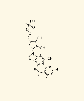 CC(Nc1nc(C#N)nc2c1ccn2[C@@H]1O[C@H](COOP(C)(=O)O)[C@@H](O)[C@H]1O)c1ccc(F)cc1F